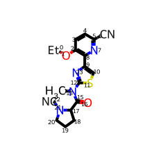 CCOc1ccc(C#N)nc1-c1csc(N(C)C(=O)C2CCCN2C#N)n1